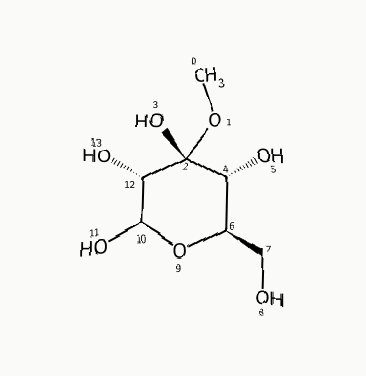 CO[C@]1(O)[C@H](O)[C@@H](CO)OC(O)[C@@H]1O